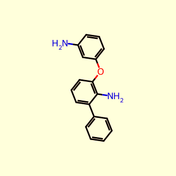 Nc1cccc(Oc2cccc(-c3ccccc3)c2N)c1